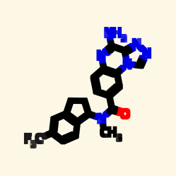 CN(C(=O)c1ccc2nc(N)c3nncn3c2c1)C1CCc2cc(C(F)(F)F)ccc21